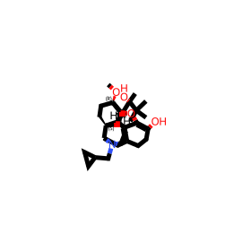 CO[C@]12CC[C@@]3(C[C@@H]1C(C)(O)C(C)(C)C)C1CC4=C5C(=C(O)CC4)O[C@@H]2[C@]53CCN1CC1CC1